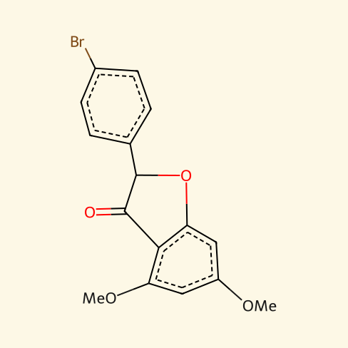 COc1cc(OC)c2c(c1)OC(c1ccc(Br)cc1)C2=O